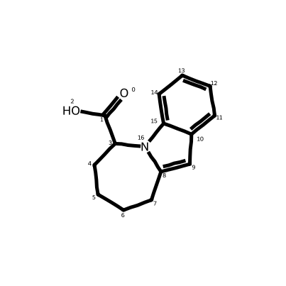 O=C(O)C1CCCCc2cc3ccccc3n21